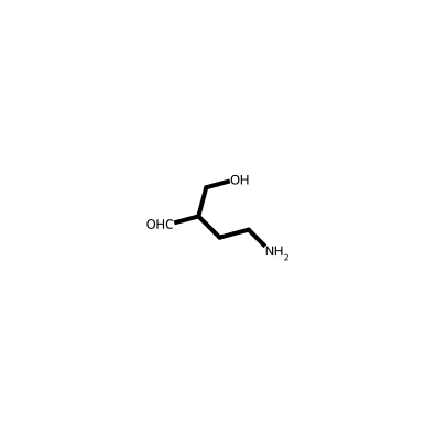 NCCC(C=O)CO